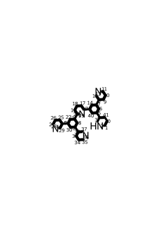 C1=CNCC(c2cc(-c3cccnc3)cc(-c3cccc(-c4cc(-c5cccnc5)cc(-c5cccnc5)c4)n3)c2)=C1